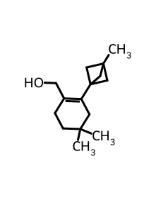 CC1(C)CCC(CO)=C(C23CC(C)(C2)C3)C1